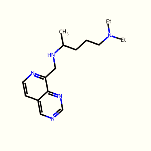 CCN(CC)CCCC(C)NCc1nccc2cncnc12